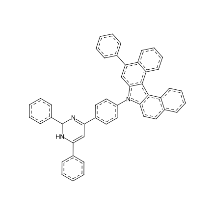 C1=C(c2ccccc2)NC(c2ccccc2)N=C1c1ccc(-n2c3ccc4ccccc4c3c3c4ccccc4c(-c4ccccc4)cc32)cc1